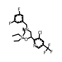 CC[Si](CC)(CC)OC(CNCc1cc(F)cc(F)c1)c1ncc(C(F)(F)F)cc1Cl